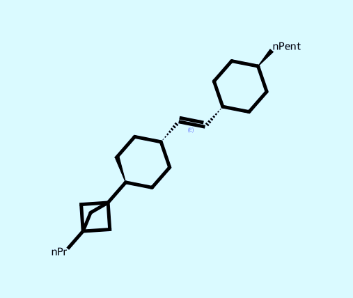 CCCCC[C@H]1CC[C@H](/C=C/[C@H]2CC[C@H](C34CC(CCC)(C3)C4)CC2)CC1